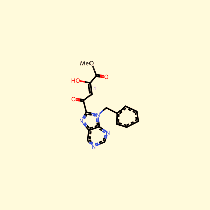 COC(=O)/C(O)=C/C(=O)c1nc2cncnc2n1Cc1ccccc1